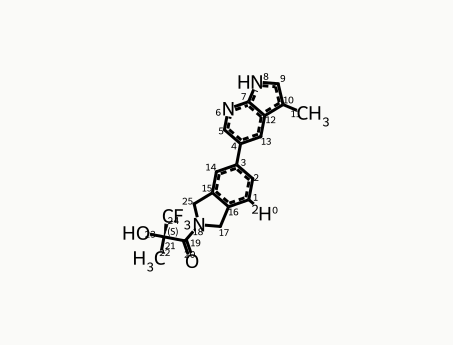 [2H]c1cc(-c2cnc3[nH]cc(C)c3c2)cc2c1CN(C(=O)[C@](C)(O)C(F)(F)F)C2